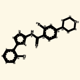 O=C(Nc1nc(-c2ccccc2Cl)cs1)c1ccc(C2CCOCC2)cc1F